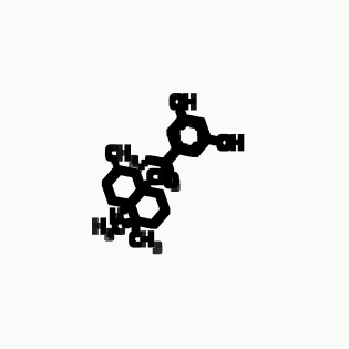 C[C@H]1CC[C@H]2C(C)(C)CCC[C@]2(C)[C@H]1CC(=O)c1cc(O)cc(O)c1